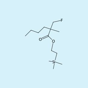 CCCCC(C)(CF)C(=O)OCC[Si](C)(C)C